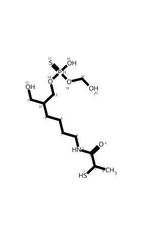 CC(S)C(=O)NCCCCC(CO)COP(O)(=S)OCO